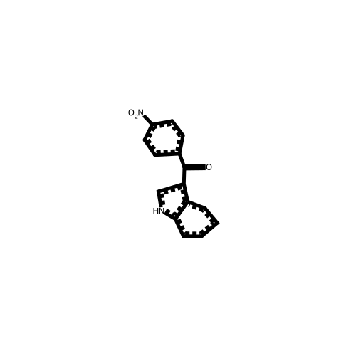 O=C(c1ccc([N+](=O)[O-])cc1)c1c[nH]c2ccccc12